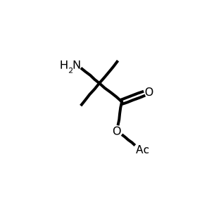 CC(=O)OC(=O)C(C)(C)N